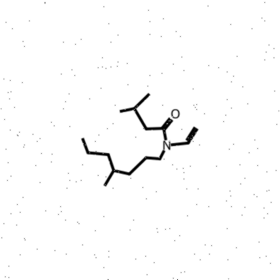 C=CN(CCCC(C)CCC)C(=O)CC(C)C